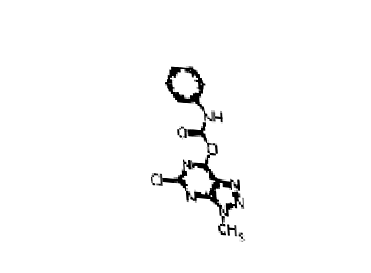 Cn1nnc2c(OC(=O)Nc3ccccc3)nc(Cl)nc21